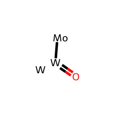 [O]=[W][Mo].[W]